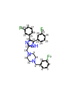 Fc1cccc(CN2CCN(Cc3nc(-c4cccc(F)c4)c(-c4cccc(F)c4)[nH]3)CC2)c1